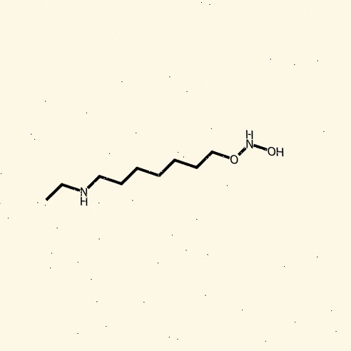 CCNCCCCCCCONO